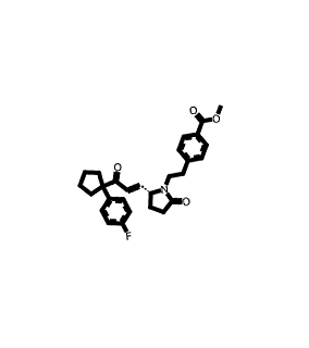 COC(=O)c1ccc(CCN2C(=O)CC[C@@H]2C=CC(=O)C2(c3ccc(F)cc3)CCCC2)cc1